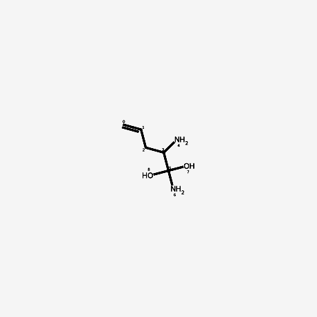 C=CCC(N)C(N)(O)O